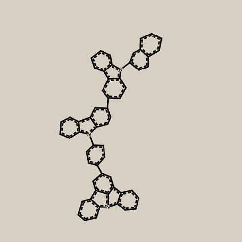 c1ccc2cc(-n3c4ccccc4c4cc(-c5ccc6c(c5)c5ccccc5n6-c5ccc(-c6cc7c8ccccc8n8c9ccccc9c(c6)c78)cc5)ccc43)ccc2c1